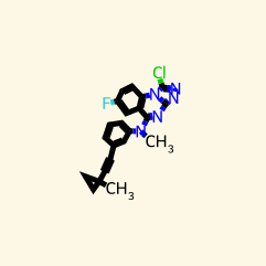 CN(c1cccc(C#CC2(C)CC2)c1)c1nc2nnc(Cl)n2c2ccc(F)cc12